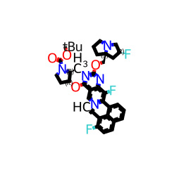 C#Cc1c(F)ccc2cccc(-c3ncc4c(O[C@@H]5CCN(C(=O)OC(C)(C)C)[C@@H]5C)nc(OC[C@@]56CCCN5C[C@H](F)C6)nc4c3F)c12